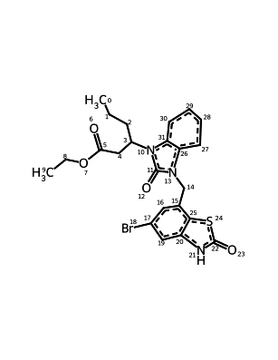 CCCC(CC(=O)OCC)n1c(=O)n(Cc2cc(Br)cc3[nH]c(=O)sc23)c2ccccc21